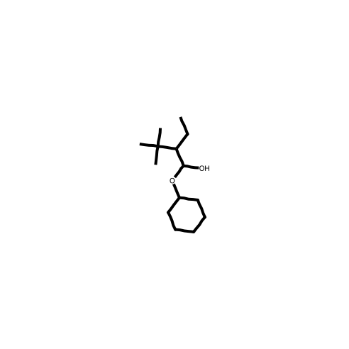 CCC(C(O)OC1CCCCC1)C(C)(C)C